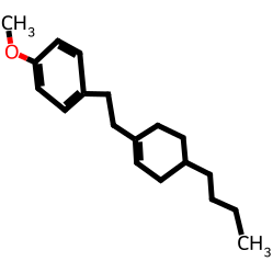 CCCCC1CC=C(CCc2ccc(OC)cc2)CC1